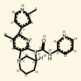 Cc1cc(-c2nc3c(cc2C)N2CCC[C@@H](C2)N3C(=O)Nc2cccnc2)ccn1